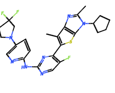 Cc1c(-c2nc(Nc3ccc(N4CCC(F)(F)C4)cn3)ncc2F)sc2c1nc(C)n2C1CCCC1